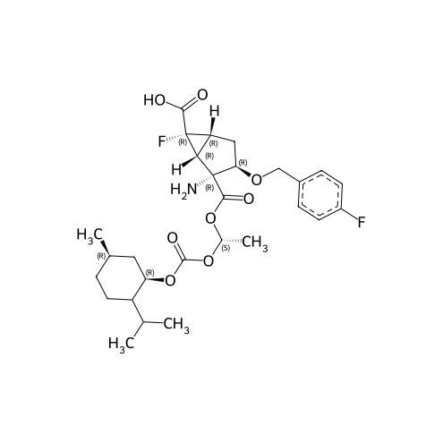 CC(C)C1CC[C@@H](C)C[C@H]1OC(=O)O[C@@H](C)OC(=O)[C@@]1(N)[C@H]2[C@@H](C[C@H]1OCc1ccc(F)cc1)[C@]2(F)C(=O)O